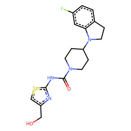 O=C(Nc1nc(CO)cs1)N1CCC(N2CCc3ccc(F)cc32)CC1